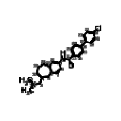 CN(C)CC1=Cc2ccc(NC(=O)c3ccc(-c4ccc(Cl)cc4)cc3)cc2CCC1